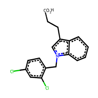 O=C(O)CCc1cn(Cc2ccc(Cl)cc2Cl)c2ccccc12